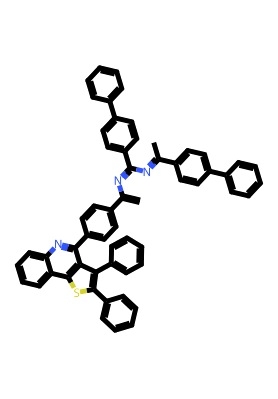 C=C(/N=C(\N=C(/C)c1ccc(-c2ccccc2)cc1)c1ccc(-c2ccccc2)cc1)c1ccc(-c2nc3ccccc3c3sc(-c4ccccc4)c(-c4ccccc4)c23)cc1